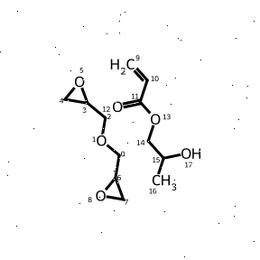 C(OCC1CO1)C1CO1.C=CC(=O)OCC(C)O